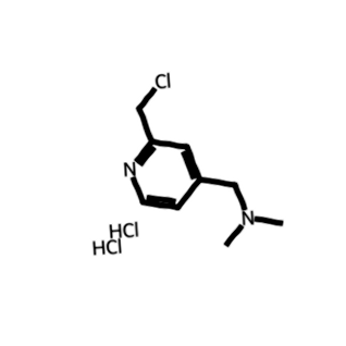 CN(C)Cc1ccnc(CCl)c1.Cl.Cl